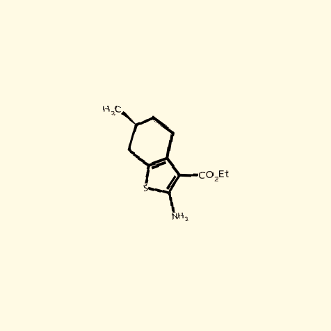 CCOC(=O)c1c(N)sc2c1CC[C@H](C)C2